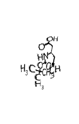 C#CC[C@H](CC(=O)O)NC(=O)OC(C)(C)C